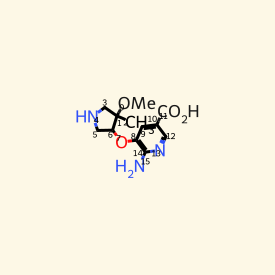 COC1(C)CNCC1Oc1cc(C(=O)O)cnc1N